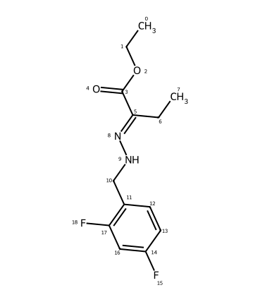 CCOC(=O)/C(CC)=N/NCc1ccc(F)cc1F